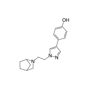 Oc1ccc(-c2cnn(CCN3CC4CCC3C4)c2)cc1